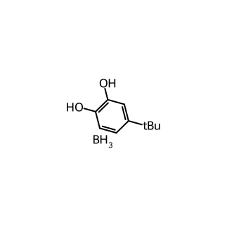 B.CC(C)(C)c1ccc(O)c(O)c1